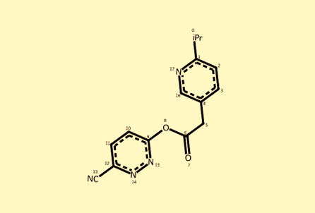 CC(C)c1ccc(CC(=O)Oc2ccc(C#N)nn2)cn1